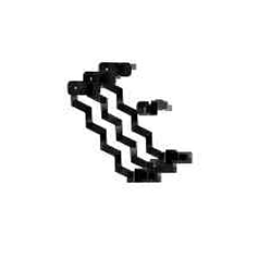 CCCCCCCCCCCCCCCCCC(=O)[O-].CCCCCCCCCCCCCCCCCC(=O)[O-].CCCCCCCCCCCCCCCCCC(=O)[O-].[Gd+3]